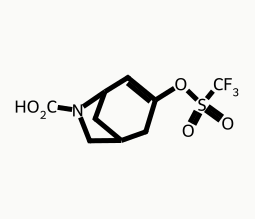 O=C(O)N1CC2CC(OS(=O)(=O)C(F)(F)F)=CC1C2